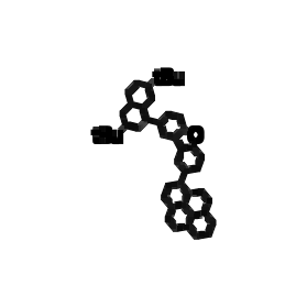 CC(C)(C)C1=CC2=C(c3ccc4oc5ccc(-c6ccc7ccc8cccc9ccc6c7c89)cc5c4c3)C=C(C(C)(C)C)CC2C=C1